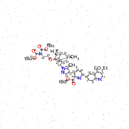 CCOC(=O)c1ccnc2ccc(-c3ccc(-c4cnn(CC56CC7(C)CC(C)(C5)CC(OCCN(C(=O)OC(C)(C)C)C(=O)OC(C)(C)C)(C7)C6)c4C)c(C(=O)OC(C)(C)C)n3)cc12